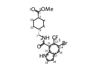 COC(=O)[C@H]1CC[C@H](CNC(=O)c2c(C(F)(F)F)c(Br)cc3cc[nH]c23)CC1